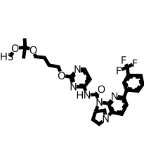 CC(C)(OS)OCCCCOc1nccc(NC(=O)N2c3nc(-c4cccc(C(F)(F)F)c4)ccc3N3CCC2C3)n1